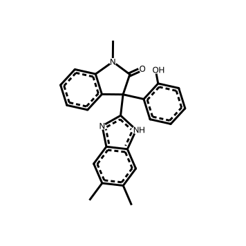 Cc1cc2nc(C3(c4ccccc4O)C(=O)N(C)c4ccccc43)[nH]c2cc1C